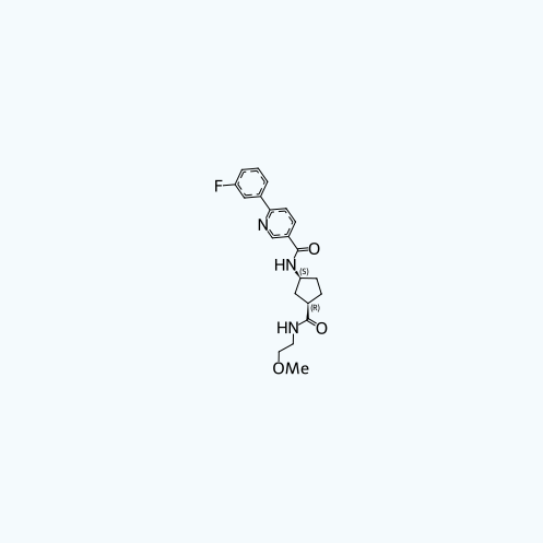 COCCNC(=O)[C@@H]1CC[C@H](NC(=O)c2ccc(-c3cccc(F)c3)nc2)C1